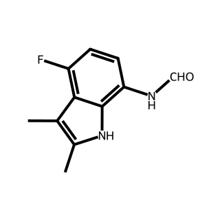 Cc1[nH]c2c(NC=O)ccc(F)c2c1C